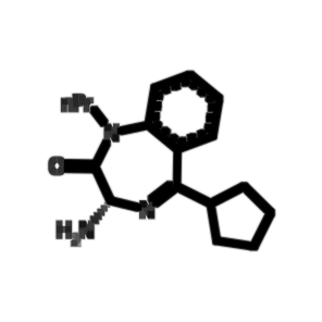 CCCN1C(=O)[C@@H](N)N=C(C2CCCC2)c2ccccc21